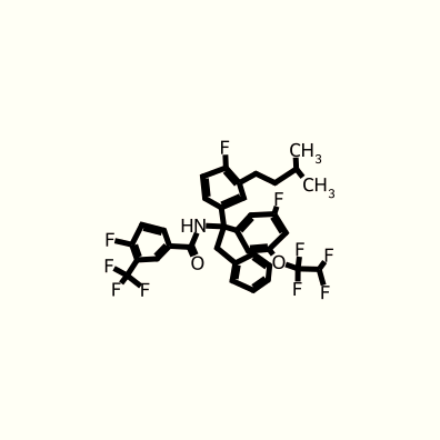 CC(C)CCc1cc(C(Cc2ccccc2)(NC(=O)c2ccc(F)c(C(F)(F)F)c2)c2cc(F)cc(OC(F)(F)C(F)F)c2)ccc1F